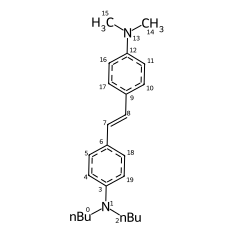 CCCCN(CCCC)c1ccc(C=Cc2ccc(N(C)C)cc2)cc1